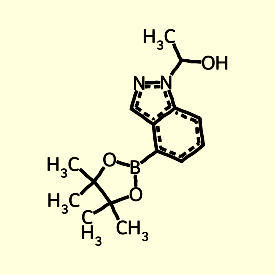 CC(O)n1ncc2c(B3OC(C)(C)C(C)(C)O3)cccc21